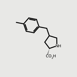 Cc1ccc(CC2CN[C@H](C(=O)O)C2)cc1